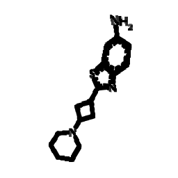 Nc1ccc2nc(C3CC(N4CCCCC4)C3)sc2c1